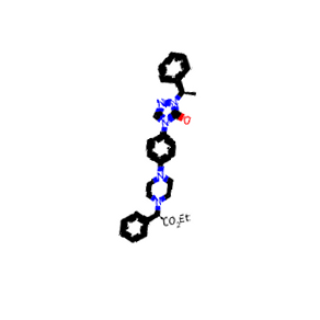 CCOC(=O)[C@H](c1ccccc1)N1CCN(c2ccc(-n3cnn([C@H](C)c4ccccc4)c3=O)cc2)CC1